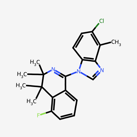 Cc1c(Cl)ccc2c1ncn2C1=NC(C)(C)C(C)(C)c2c(F)cccc21